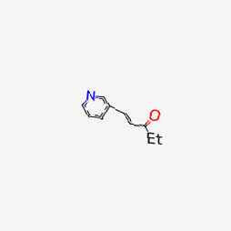 CCC(=O)C=Cc1cccnc1